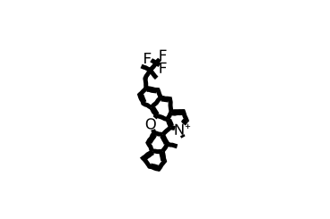 Cc1c2c(cc3ccccc13)Oc1c3ccc(CC(C)(C)C(F)(F)F)cc3cc3cc[n+](C)c-2c13